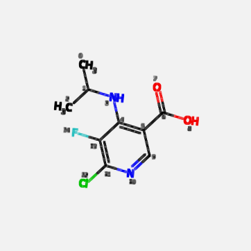 CC(C)Nc1c(C(=O)O)cnc(Cl)c1F